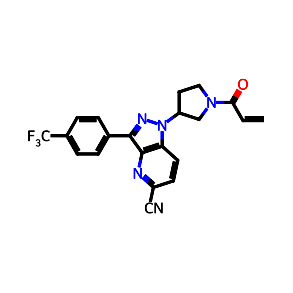 C=CC(=O)N1CCC(n2nc(-c3ccc(C(F)(F)F)cc3)c3nc(C#N)ccc32)C1